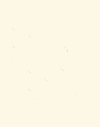 C[C@H]1OC(O)N(c2cc(-c3cnc(N)nc3C(F)(F)F)nc(N3CCOCC3)n2)[C@H]1CO